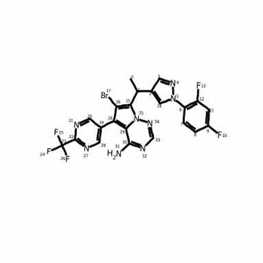 CC(c1cnn(-c2ccc(F)cc2F)c1)c1c(Br)c(-c2cnc(C(F)(F)F)nc2)c2c(N)ncnn12